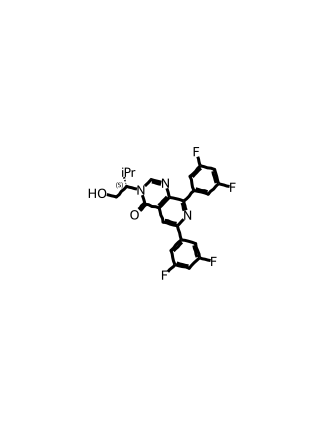 CC(C)[C@@H](CO)n1cnc2c(-c3cc(F)cc(F)c3)nc(-c3cc(F)cc(F)c3)cc2c1=O